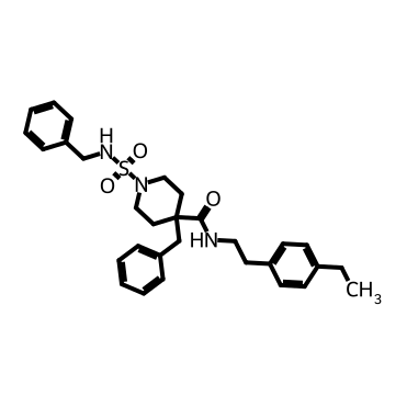 CCc1ccc(CCNC(=O)C2(Cc3ccccc3)CCN(S(=O)(=O)NCc3ccccc3)CC2)cc1